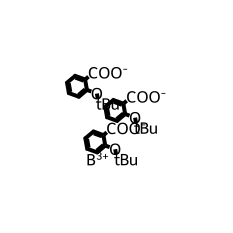 CC(C)(C)Oc1ccccc1C(=O)[O-].CC(C)(C)Oc1ccccc1C(=O)[O-].CC(C)(C)Oc1ccccc1C(=O)[O-].[B+3]